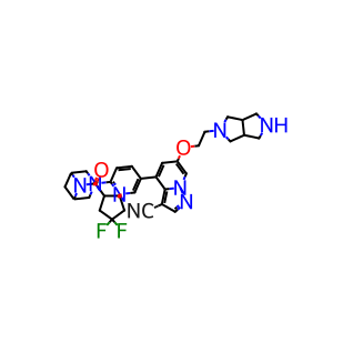 N#Cc1cnn2cc(OCCN3CC4CNCC4C3)cc(-c3ccc(N4CC5CC(C4)N5C(=O)C4CCC(F)(F)C4)nc3)c12